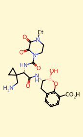 CCN1CCN(C(=O)N[C@H](C(=O)N[C@H]2Cc3cccc(C(=O)O)c3OB2O)C2(CN)CC2)C(=O)C1=O